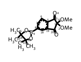 COC1(OC)C(=O)c2ccc(B3OC(C)(C)C(C)(C)O3)cc2C1=O